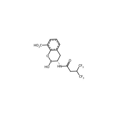 O=C(CC(C(F)(F)F)C(F)(F)F)N[C@H]1Cc2cccc(C(=O)O)c2OB1O